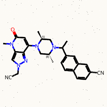 CC(c1ccc2ccc(C#N)cc2c1)N1C[C@H](C)N(c2cc(=O)n(C)c3cn(CC#N)nc23)C[C@H]1C